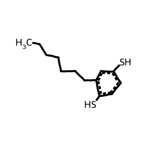 CCCCCCCc1cc(S)ccc1S